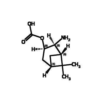 CC1(C)[C@H]2C[C@@H]1[C@H](N)[C@H](OC(=O)O)C2